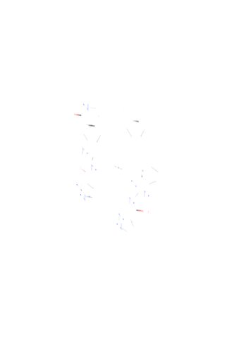 CCn1nc(C)cc1C(=O)/N=C1/C(C/C(C)=C(\C)Cn2/c(=N/C(=O)c3cc(C)nn3CC)n(C)c3ccccc32)c2c(OCc3ccccc3F)cc(C(N)=O)cc2N1C